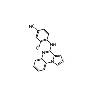 N#Cc1ccc(Nc2nc3ccccc3n3cncc23)c(Cl)c1